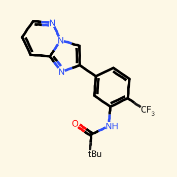 CC(C)(C)C(=O)Nc1cc(-c2cn3ncccc3n2)ccc1C(F)(F)F